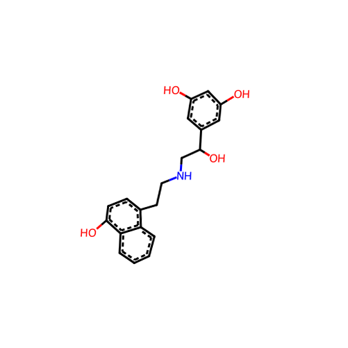 Oc1cc(O)cc(C(O)CNCCc2ccc(O)c3ccccc23)c1